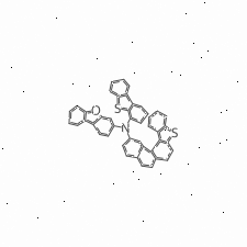 c1ccc2c(c1)oc1cc(N(c3ccc4ccc5ccc6sc7ccccc7c6c5c4c3)c3cccc4c3sc3ccccc34)ccc12